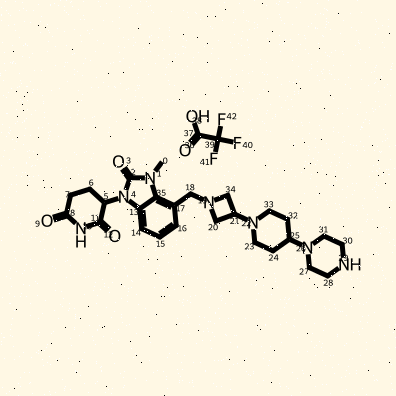 Cn1c(=O)n(C2CCC(=O)NC2=O)c2cccc(CN3CC(N4CCC(N5CCNCC5)CC4)C3)c21.O=C(O)C(F)(F)F